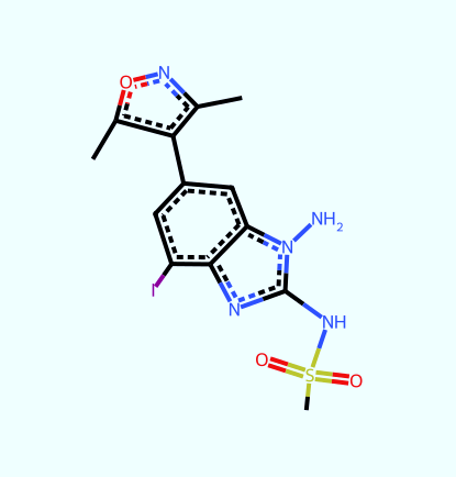 Cc1noc(C)c1-c1cc(I)c2nc(NS(C)(=O)=O)n(N)c2c1